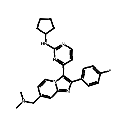 CN(C)Cc1ccn2c(-c3ccnc(NC4CCCC4)n3)c(-c3ccc(F)cc3)nc2c1